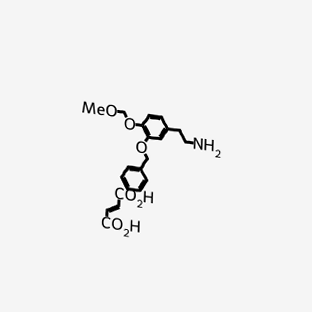 COCOc1ccc(CCN)cc1OCc1ccccc1.O=C(O)C=CC(=O)O